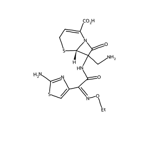 CCO/N=C(\C(=O)NC1(CN)C(=O)N2C(C(=O)O)=CCS[C@H]21)c1csc(N)n1